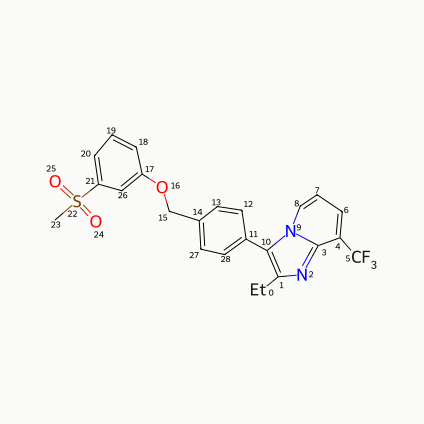 CCc1nc2c(C(F)(F)F)cccn2c1-c1ccc(COc2cccc(S(C)(=O)=O)c2)cc1